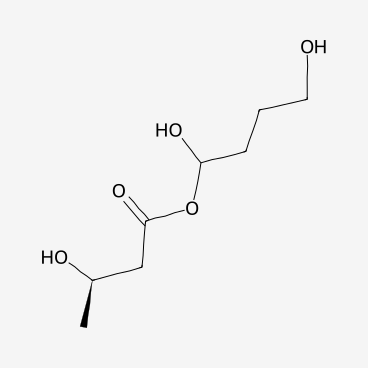 C[C@@H](O)CC(=O)OC(O)CCCO